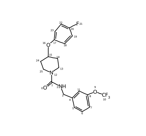 O=C(NCc1cccc(OC(F)(F)F)c1)N1CCC(Oc2ccc(F)cc2)CC1